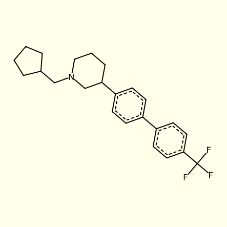 FC(F)(F)c1ccc(-c2ccc(C3CCCN(CC4CCCC4)C3)cc2)cc1